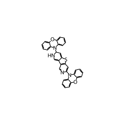 C1=c2sc3cc(N4c5ccccc5Oc5ccccc54)ncc3c2=CNC1N1c2ccccc2Oc2ccccc21